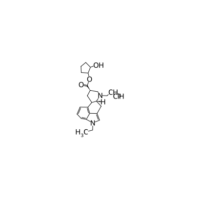 CCN1C[C@H](C(=O)OC2CCCC2O)CC2c3cccc4c3c(cn4CC)C[C@H]21.Cl